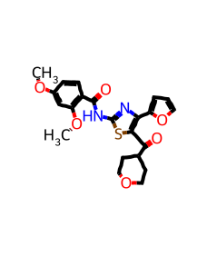 COc1ccc(C(=O)Nc2nc(-c3ccco3)c(C(=O)C3CCOCC3)s2)c(OC)c1